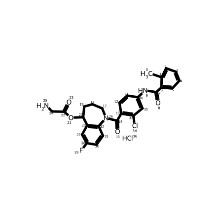 Cc1ccccc1C(=O)Nc1ccc(C(=O)N2CCCC(OC(=O)CN)c3cc(F)ccc32)c(Cl)c1.Cl